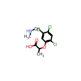 CC(Oc1cc(Cl)c(Cl)cc1Cl)C(=O)O.CNC